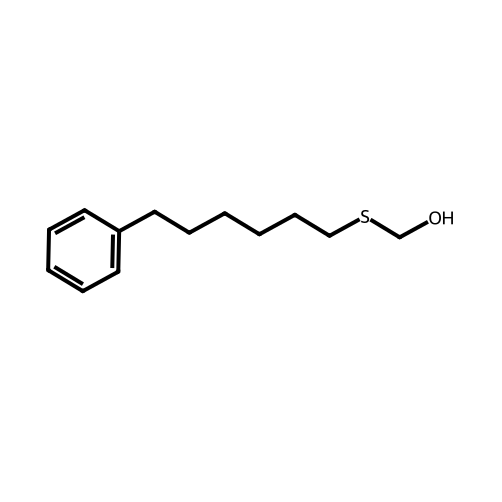 OCSCCCCCCc1ccccc1